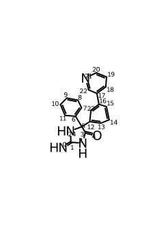 N=C1NC(=O)C(c2ccccc2)(c2cccc(-c3cccnc3)c2)N1